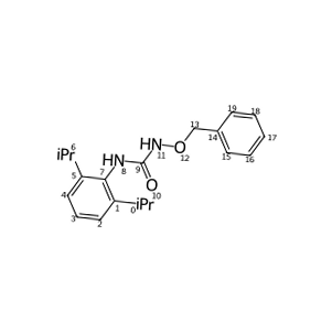 CC(C)c1cccc(C(C)C)c1NC(=O)NOCc1ccccc1